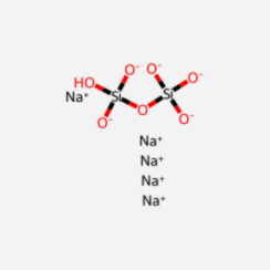 [Na+].[Na+].[Na+].[Na+].[Na+].[O-][Si]([O-])([O-])O[Si]([O-])([O-])O